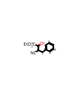 CCOC(=O)C(=O)C(C#N)Cc1ccccc1